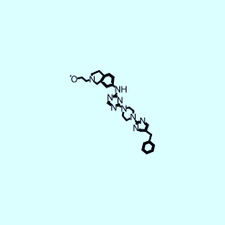 COCCN1CCc2ccc(Nc3ncnc(N4CCN(c5ncc(Cc6ccccc6)cn5)CC4)n3)cc2C1